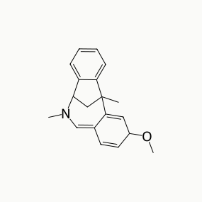 COC1C=CC2=CN(C)C3CC(C)(C2=C1)c1ccccc13